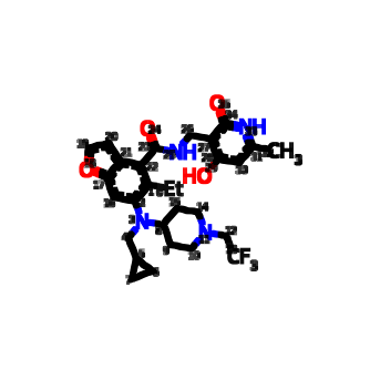 CCc1c(N(CC2CC2)C2CCN(CC(F)(F)F)CC2)cc2occc2c1C(=O)NCc1c(O)cc(C)[nH]c1=O